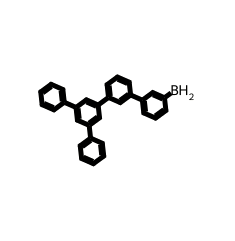 Bc1cccc(-c2cccc(-c3cc(-c4ccccc4)cc(-c4ccccc4)c3)c2)c1